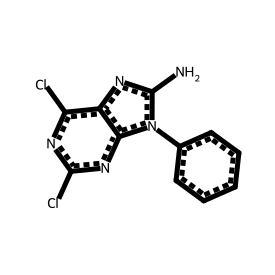 Nc1nc2c(Cl)nc(Cl)nc2n1-c1ccccc1